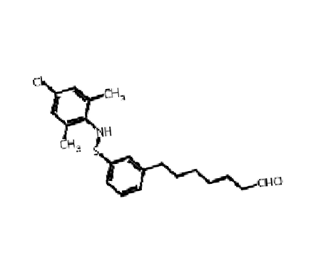 Cc1cc(Cl)cc(C)c1NSc1cccc(CCCCCCC=O)c1